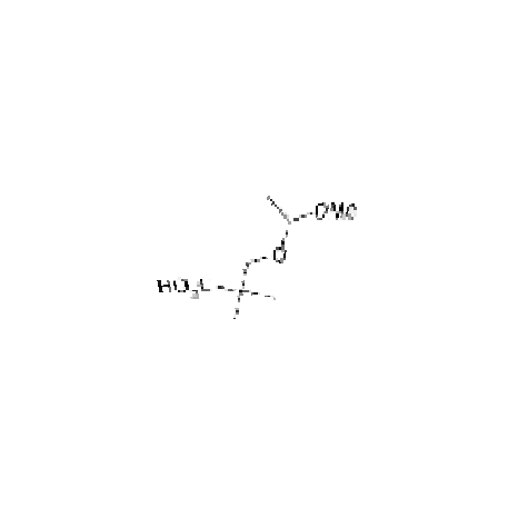 COC(C)OCC(C)(C)C(=O)O